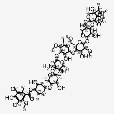 COC[C@H]1O[C@@H](O[C@@H]2OC[C@@H]3O[C@@]4(OC[C@@](O)(C(C)OC)[C@@H]5OCO[C@H]54)O[C@H]3[C@H]2O)[C@@H](OC)[C@@H](O)[C@@H]1O[C@@H]1O[C@H](C)[C@H](OC)[C@H](O[C@H]2C[C@@]3(N)O[C@@]4(C[C@@H](O)[C@H](O[C@H]5C[C@@H](O)[C@H](OC(=O)c6c(C)c(Cl)c(O)c(Cl)c6OC)[C@@H](C)O5)[C@@H](C)O4)O[C@@H]3[C@@H](C)O2)[C@H]1O